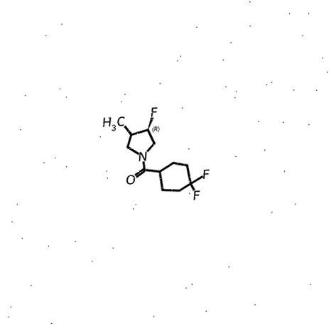 CC1CN(C(=O)C2CCC(F)(F)CC2)C[C@@H]1F